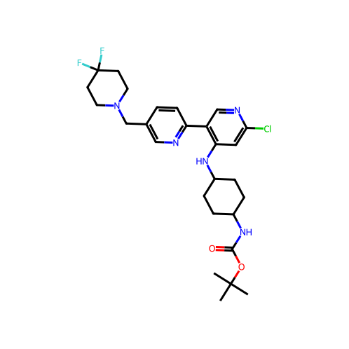 CC(C)(C)OC(=O)NC1CCC(Nc2cc(Cl)ncc2-c2ccc(CN3CCC(F)(F)CC3)cn2)CC1